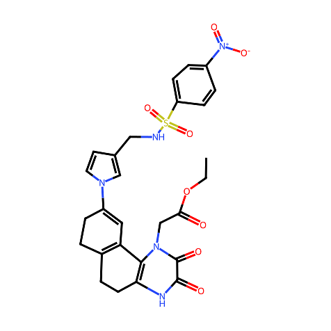 CCOC(=O)Cn1c2c([nH]c(=O)c1=O)CCC1=C2C=C(n2ccc(CNS(=O)(=O)c3ccc([N+](=O)[O-])cc3)c2)CC1